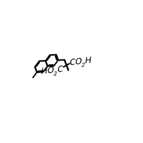 Cc1ccc2ccc(CC(C)(C(=O)O)C(=O)O)cc2c1